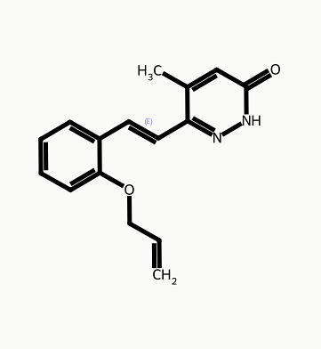 C=CCOc1ccccc1/C=C/c1n[nH]c(=O)cc1C